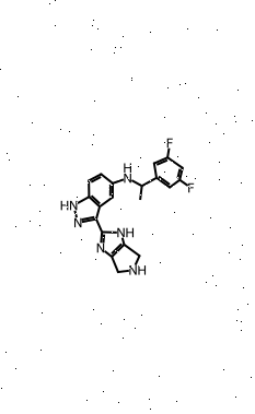 CC(Nc1ccc2[nH]nc(-c3nc4c([nH]3)CNC4)c2c1)c1cc(F)cc(F)c1